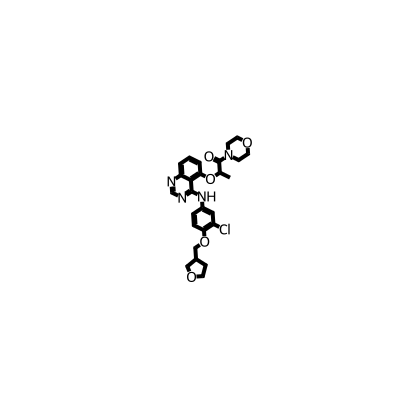 CC(Oc1cccc2ncnc(Nc3ccc(OCC4CCOC4)c(Cl)c3)c12)C(=O)N1CCOCC1